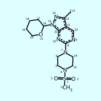 CS(=O)(=O)N1CCN(c2ncc3c(I)nn(C4CCCCO4)c3n2)CC1